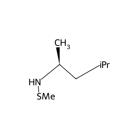 CSN[C@@H](C)CC(C)C